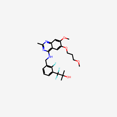 COCCCOc1cc2c(NCc3cccc(C(F)(F)C(C)(C)O)c3F)nc(C)nc2cc1OC